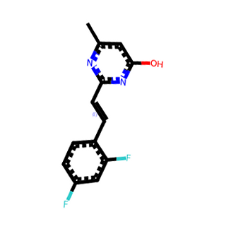 Cc1cc(O)nc(/C=C/c2ccc(F)cc2F)n1